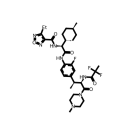 CCc1nonc1C(=O)N[C@H](C(=O)Nc1ccc([C@H](C)[C@@H](NC(=O)C(C)(F)F)C(=O)N2CCN(C)CC2)cc1F)[C@H]1CC[C@H](C)CC1